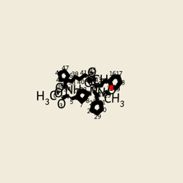 COC(=O)[C@H](Cc1ccc(N2C(=O)C(Cc3ccccc3)N(C(C)=O)C2c2ccccc2)cc1)NC(=O)C1(CCCCS(C)(=O)=O)CCCC1